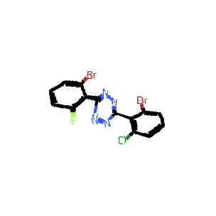 Fc1cccc(Br)c1-c1nnc(-c2c(Cl)cccc2Br)nn1